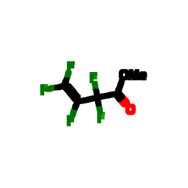 COC(=O)C(F)(F)C(F)=C(F)F